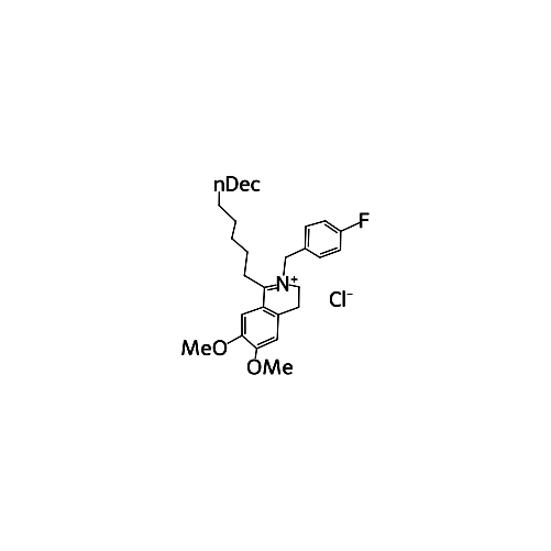 CCCCCCCCCCCCCCCC1=[N+](Cc2ccc(F)cc2)CCc2cc(OC)c(OC)cc21.[Cl-]